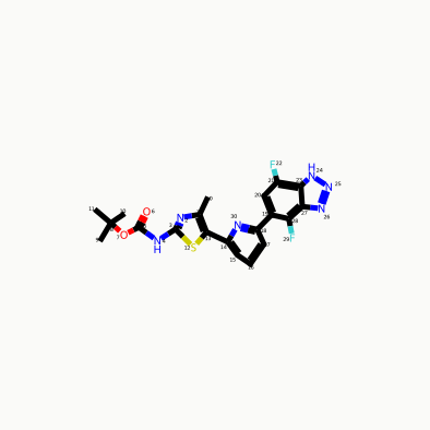 Cc1nc(NC(=O)OC(C)(C)C)sc1-c1cccc(-c2cc(F)c3[nH]nnc3c2F)n1